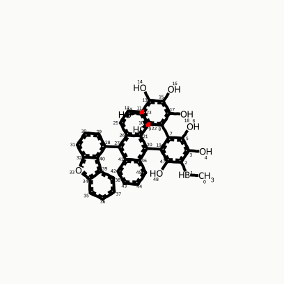 CBc1c(O)c(O)c(-c2c(O)c(O)c(O)c(O)c2O)c(-c2c3ccccc3c(-c3cccc4oc5ccccc5c34)c3ccccc23)c1O